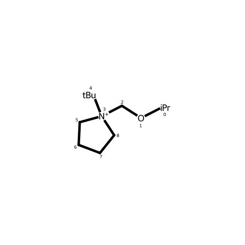 CC(C)OC[N+]1(C(C)(C)C)CCCC1